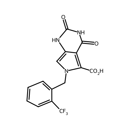 O=C(O)c1c2c(=O)[nH]c(=O)[nH]c2cn1Cc1ccccc1C(F)(F)F